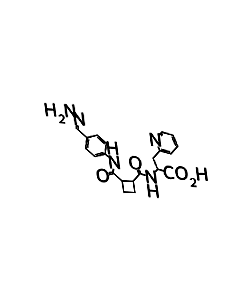 NN=Cc1ccc(NC(=O)C2CCC2C(=O)NC(Cc2ccccn2)C(=O)O)cc1